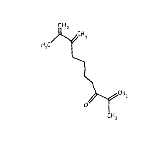 C=C(C)C(=C)CCCCC(=O)C(=C)C